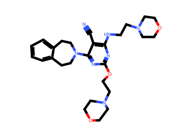 N#Cc1c(NCCN2CCOCC2)nc(OCCN2CCOCC2)nc1N1CCc2ccccc2CC1